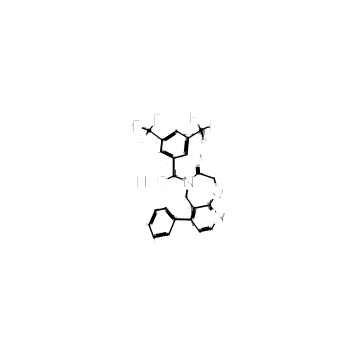 CC(c1cc(C(F)(F)F)cc(C(F)(F)F)c1)N1Cc2c(-c3ccccc3)ccnc2OCC1=O